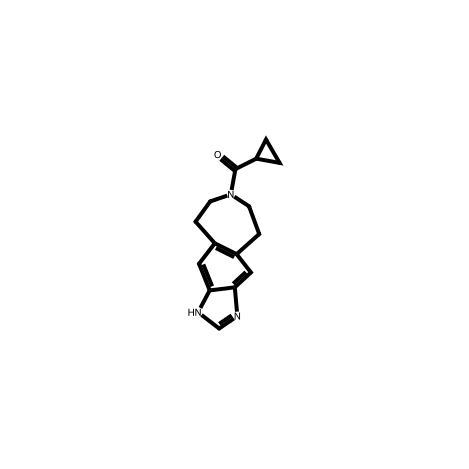 O=C(C1CC1)N1CCc2cc3nc[nH]c3cc2CC1